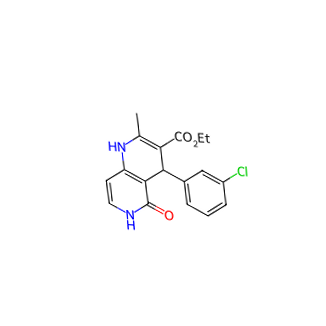 CCOC(=O)C1=C(C)Nc2cc[nH]c(=O)c2C1c1cccc(Cl)c1